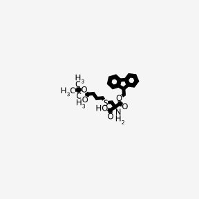 CC(C)(C)OC(=O)CCCSCC(N)(C(=O)O)C(=O)OCC1c2ccccc2-c2ccccc21